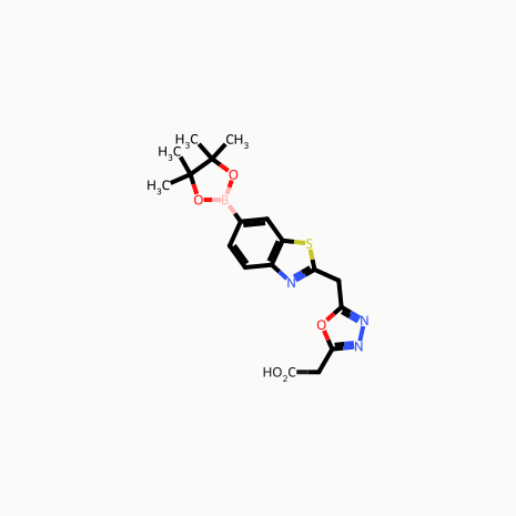 CC1(C)OB(c2ccc3nc(Cc4nnc(CC(=O)O)o4)sc3c2)OC1(C)C